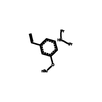 C=Cc1cccc(OCCCC)c1.CC(C)NC(C)C